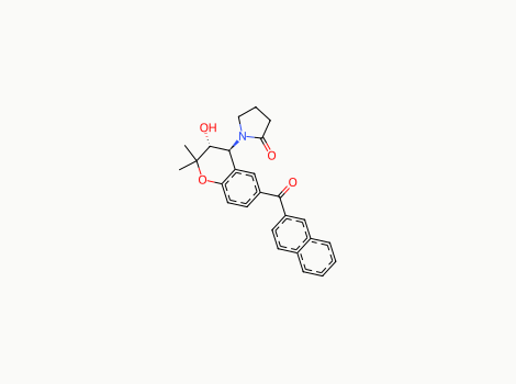 CC1(C)Oc2ccc(C(=O)c3ccc4ccccc4c3)cc2[C@H](N2CCCC2=O)[C@H]1O